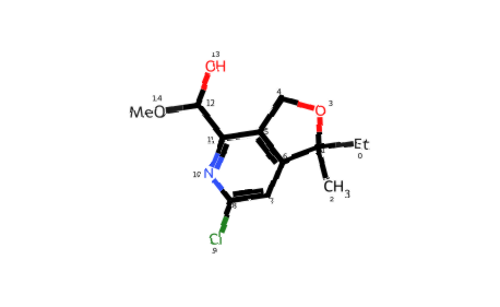 CCC1(C)OCc2c1cc(Cl)nc2C(O)OC